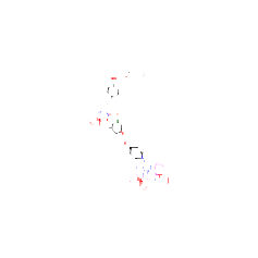 CC(C)(C)OC(=O)CN(CCc1ccc(C(=O)OC(C)(C)C)cc1)C(=O)Cc1ccc(OC(=O)c2ccc(N/C(=N\C(=O)OC(C)(C)C)NC(=O)OC(C)(C)C)cc2)cc1Cl